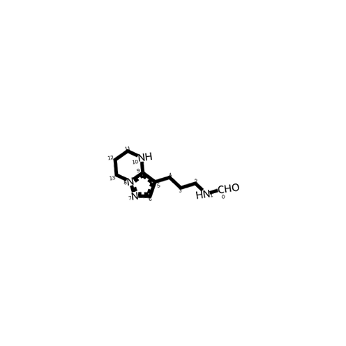 O=CNCCCc1cnn2c1NCCC2